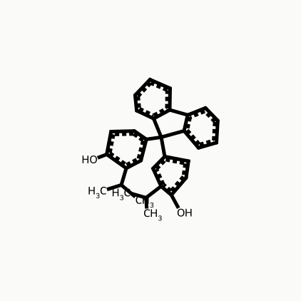 CC(C)c1cc(C2(c3ccc(O)c(C(C)C)c3)c3ccccc3-c3ccccc32)ccc1O